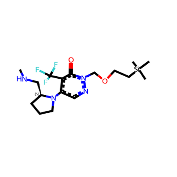 CNC[C@@H]1CCCN1c1cnn(COCC[Si](C)(C)C)c(=O)c1C(F)(F)F